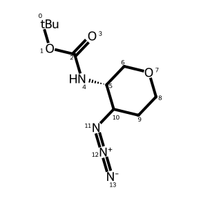 CC(C)(C)OC(=O)N[C@@H]1COCCC1N=[N+]=[N-]